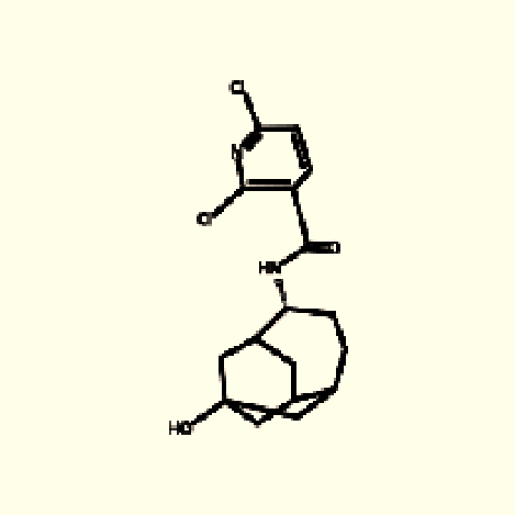 O=C(N[C@@H]1CCC2CC3(O)CC2CC1C3)c1ccc(Cl)nc1Cl